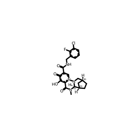 CN1C(=O)c2c(O)c(=O)c(C(=O)NCc3cccc(Cl)c3F)cn2N2C[C@@H]3CC[C@@H](C3)[C@@H]12